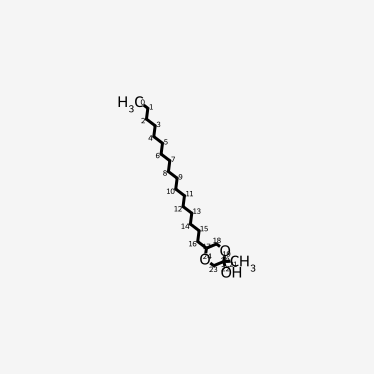 CCCCCCCCCCCCCCCCCC1COC(C)(O)CO1